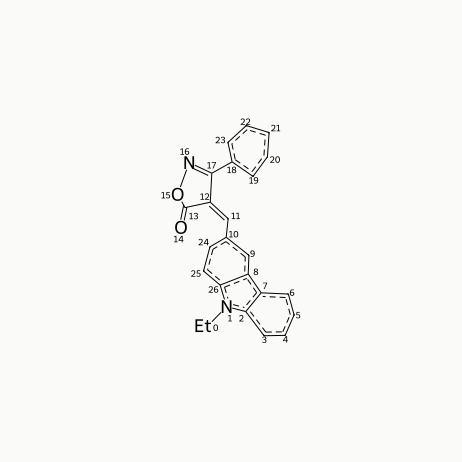 CCn1c2ccccc2c2cc(/C=C3\C(=O)ON=C3c3ccccc3)ccc21